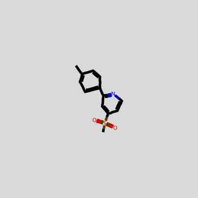 Cc1ccc(-c2cc(S(C)(=O)=O)ccn2)cc1